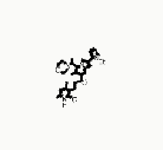 CCn1nccc1-c1cc2cc(C(=O)CCc3c(C)cc(C)[nH]c3=O)c(C)c(C(C)N3CCOCC3)n2c1